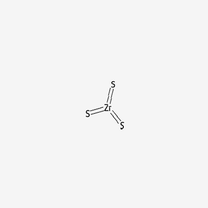 [S]=[Zr](=[S])=[S]